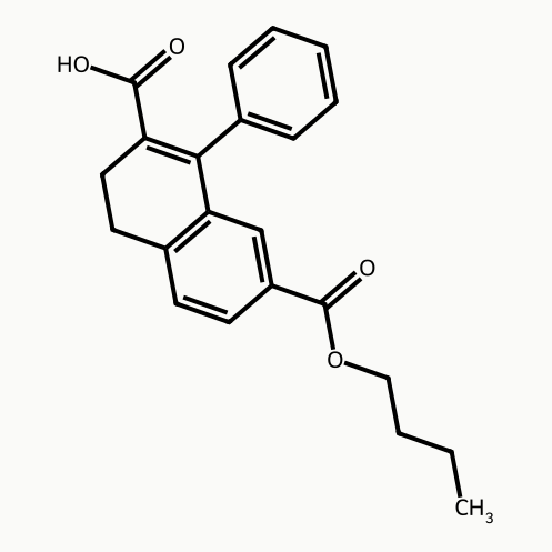 CCCCOC(=O)c1ccc2c(c1)C(c1ccccc1)=C(C(=O)O)CC2